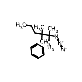 CCCC(C)(C)C(C)(C)N=[N+]=[N-].c1ccccc1